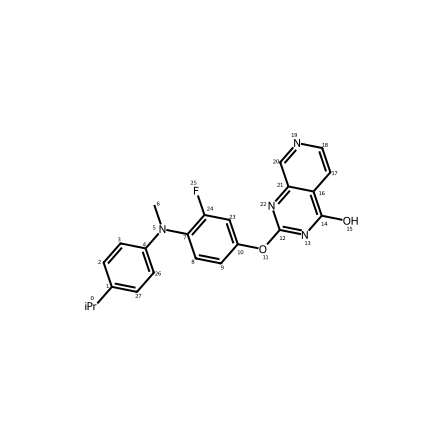 CC(C)c1ccc(N(C)c2ccc(Oc3nc(O)c4ccncc4n3)cc2F)cc1